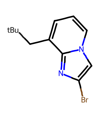 CC(C)(C)Cc1cccn2cc(Br)nc12